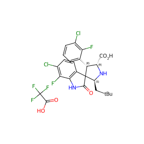 CC(C)(C)C[C@@H]1N[C@@H](C(=O)O)[C@@H](c2cccc(Cl)c2F)C12C(=O)Nc1c2ccc(Cl)c1F.O=C(O)C(F)(F)F